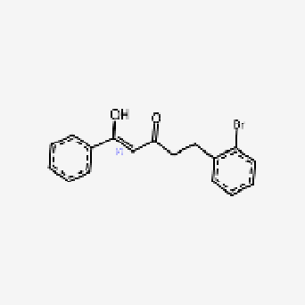 O=C(/C=C(\O)c1ccccc1)CCc1ccccc1Br